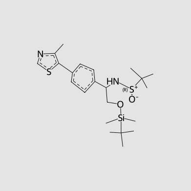 Cc1ncsc1-c1ccc(C(CO[Si](C)(C)C(C)(C)C)N[S@@+]([O-])C(C)(C)C)cc1